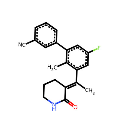 C/C(=C1/CCCNC1=O)c1cc(F)cc(-c2cccc(C#N)c2)c1C